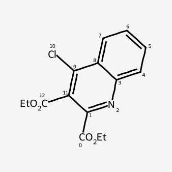 CCOC(=O)c1nc2ccccc2c(Cl)c1C(=O)OCC